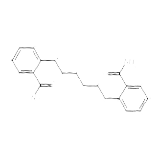 NC(=O)c1ccccc1CCCCCCc1ccccc1C(N)=O